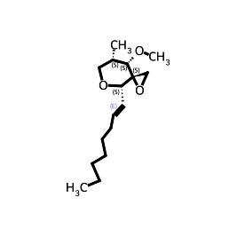 CCCCCC/C=C/[C@@H]1OC[C@H](C)[C@H](OC)[C@@]12CO2